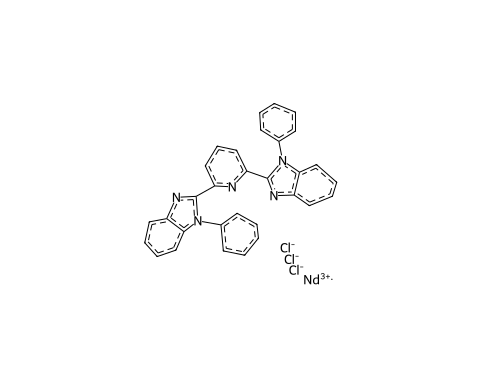 [Cl-].[Cl-].[Cl-].[Nd+3].c1ccc(-n2c(-c3cccc(-c4nc5ccccc5n4-c4ccccc4)n3)nc3ccccc32)cc1